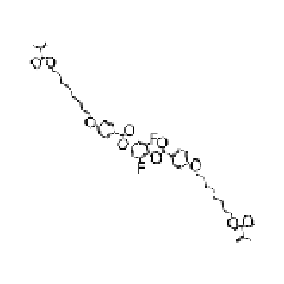 C=C(C)C(=O)OCCCCCCCCOc1ccc(C(=O)Oc2cc(F)c(OC(=O)c3ccc(OCCCCCCCCOC(=O)C(=C)C)cc3)c(F)c2)cc1